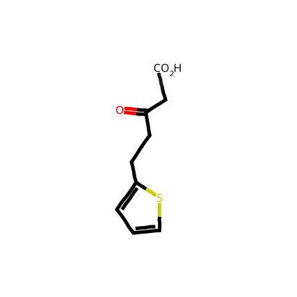 O=C(O)CC(=O)CCc1cccs1